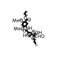 C=CCOC(=O)c1cc(NC(=O)C2CC(C(C=O)(OCC=C)C(O)=S)CN2)c(OC)cc1OC